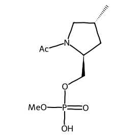 COP(=O)(O)OC[C@@H]1C[C@@H](C)CN1C(C)=O